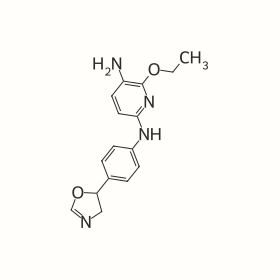 CCOc1nc(Nc2ccc(C3CN=CO3)cc2)ccc1N